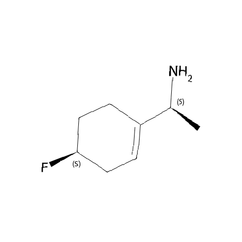 C[C@H](N)C1=CC[C@@H](F)CC1